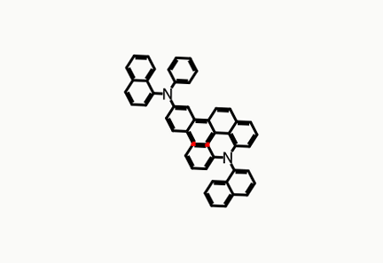 c1ccc(N(c2ccc3ccc4c(ccc5cccc(N(c6ccccc6)c6cccc7ccccc67)c54)c3c2)c2cccc3ccccc23)cc1